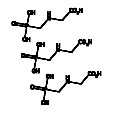 O=C(O)CNCP(=O)(O)O.O=C(O)CNCP(=O)(O)O.O=C(O)CNCP(=O)(O)O